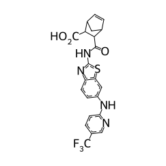 O=C(O)C1C2C=CC(C2)C1C(=O)Nc1nc2ccc(Nc3ccc(C(F)(F)F)cn3)cc2s1